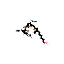 CCCCCCc1cc(C)sc1Bc1cc(CCCCCC)c(Cc2cc(CCCCCCO)c(C)s2)s1